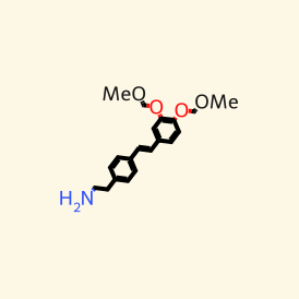 COCOc1ccc(C=Cc2ccc(CCN)cc2)cc1OCOC